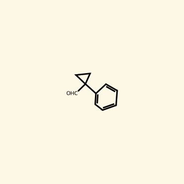 O=CC1(c2c[c]ccc2)CC1